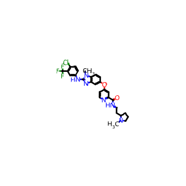 CN1CCCC1CCNC(=O)c1cc(Oc2ccc3c(c2)nc(Nc2ccc(Cl)c(C(F)(F)F)c2)n3C)ccn1